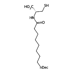 CCCCCCCCCCCCCCCCCC(=O)N[C@@H](CS)C(=O)O